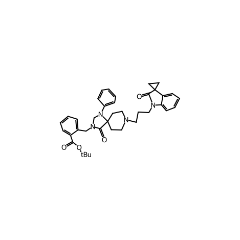 CC(C)(C)OC(=O)c1ccccc1CN1CN(c2ccccc2)C2(CCN(CCCN3C(=O)C4(CC4)c4ccccc43)CC2)C1=O